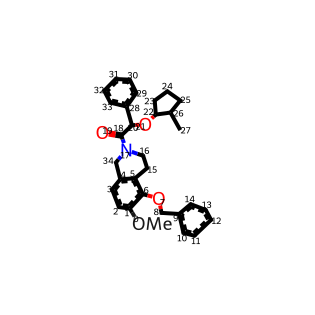 COc1ccc2c(c1OCc1ccccc1)CCN(C(=O)C(OC1CCCC1C)c1ccccc1)C2